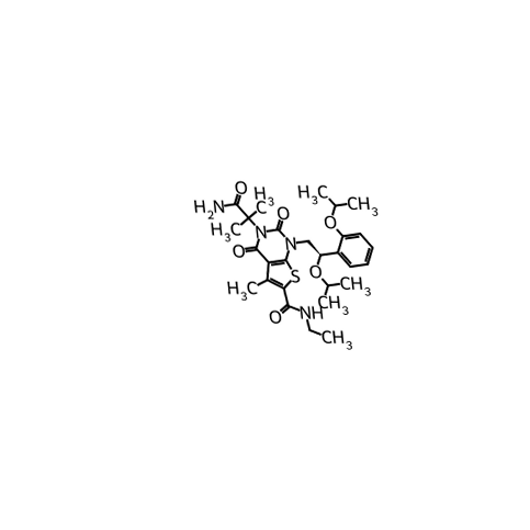 CCNC(=O)c1sc2c(c1C)c(=O)n(C(C)(C)C(N)=O)c(=O)n2C[C@H](OC(C)C)c1ccccc1OC(C)C